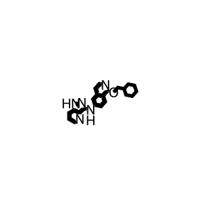 c1cnc2c(Nc3ccc4c(OCC5CCCCC5)nccc4c3)n[nH]c2c1